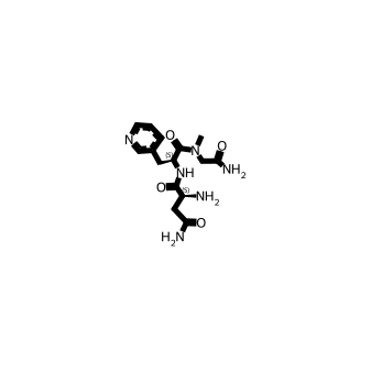 CN(CC(N)=O)C(=O)[C@H](Cc1cccnc1)NC(=O)[C@@H](N)CC(N)=O